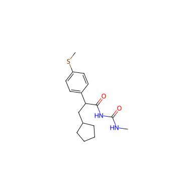 CNC(=O)NC(=O)C(CC1CCCC1)c1ccc(SC)cc1